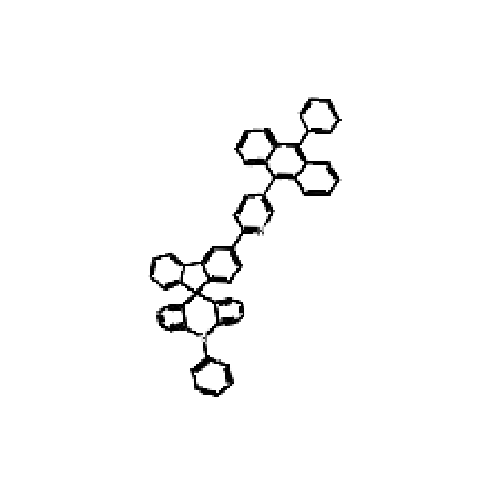 c1ccc(-c2c3ccccc3c(-c3ccc(-c4ccc5c(c4)-c4ccccc4C54c5ccccc5N(c5ccccc5)c5ccccc54)nc3)c3ccccc23)cc1